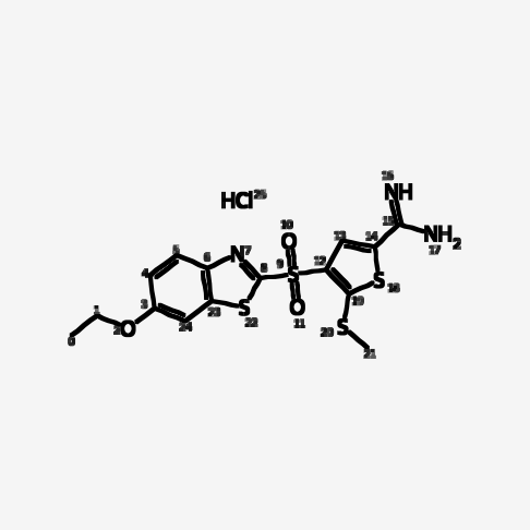 CCOc1ccc2nc(S(=O)(=O)c3cc(C(=N)N)sc3SC)sc2c1.Cl